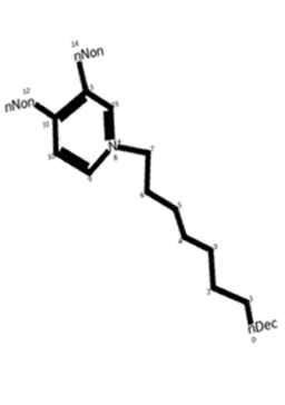 CCCCCCCCCCCCCCCCC[n+]1ccc(CCCCCCCCC)c(CCCCCCCCC)c1